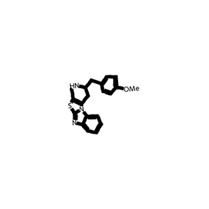 COc1ccc(CC2Cc3c(sc4nc5ccccc5n34)CN2)cc1